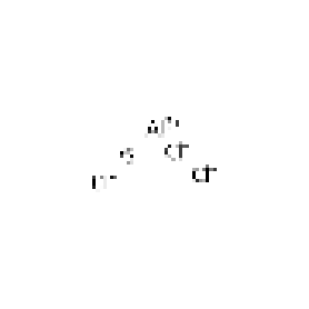 [Al+3].[Cl-].[Cl-].[Cl-].[S]